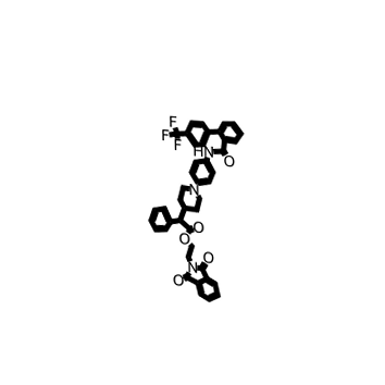 O=C(Nc1ccc(N2CCC(C(C(=O)OCCN3C(=O)c4ccccc4C3=O)c3ccccc3)CC2)cc1)c1ccccc1-c1ccc(C(F)(F)F)cc1